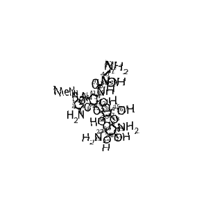 CNC[C@@H]1CC[C@@H](N)[C@@H](O[C@H]2[C@H](O[C@@H]3O[C@H](CO)[C@@H](O[C@H]4O[C@@H](CN)[C@@H](O)[C@H](O)[C@H]4N)[C@H]3O)[C@@H](O)[C@H](NC(=O)N(O)CCN)C[C@@H]2N)O1